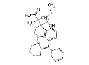 CCCC(O)C1(C(C)(C)C(=O)O)C=CC(N2CCCCC2=C(c2ccccc2)c2ccccc2)=CC1